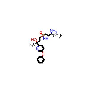 N=S(=O)(CC[C@H](N)C(=O)O)CCC(O)(c1ccc(Oc2ccccc2)cn1)C(F)(F)F